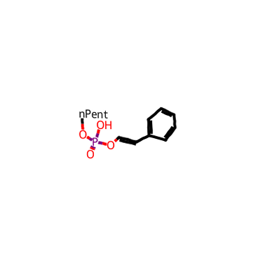 CCCCCOP(=O)(O)O/C=C/c1ccccc1